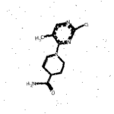 Cc1cnc(Cl)nc1N1CCC(C(N)=O)CC1